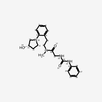 CN(CCc1ccccc1N1CC[C@H](O)C1)C(=O)CNC(=O)Nc1ccccc1